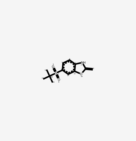 C=C1Nc2ccc(S(=O)(=O)C(C)(C)C)cc2O1